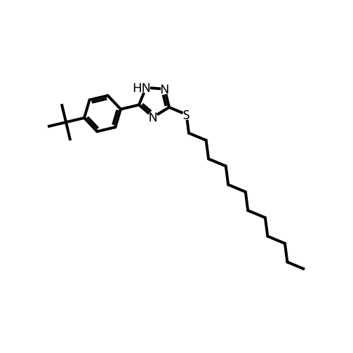 CCCCCCCCCCCCSc1n[nH]c(-c2ccc(C(C)(C)C)cc2)n1